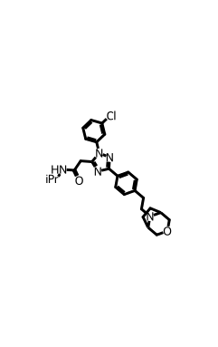 CC(C)NC(=O)Cc1nc(-c2ccc(CCN3C4CCC3COC4)cc2)nn1-c1cccc(Cl)c1